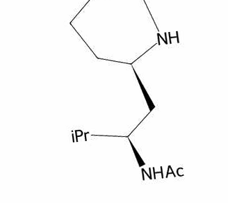 CC(=O)N[C@H](C[C@H]1CCCCN1)C(C)C